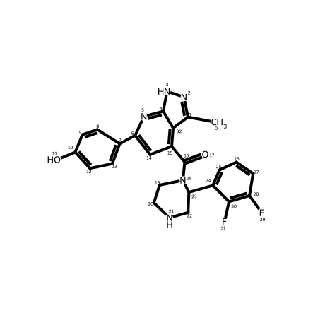 Cc1n[nH]c2nc(-c3ccc(O)cc3)cc(C(=O)N3CCNCC3c3cccc(F)c3F)c12